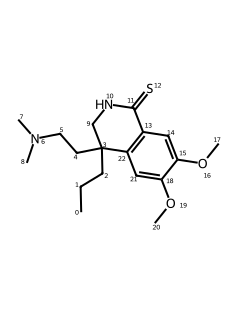 CCCC1(CCN(C)C)CNC(=S)c2cc(OC)c(OC)cc21